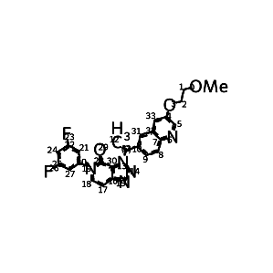 COCCOc1cnc2ccc([C@H](C)n3nnc4ccn(-c5cc(F)cc(F)c5)c(=O)c43)cc2c1